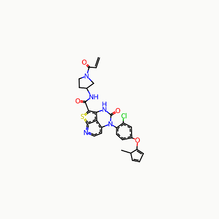 C=CC(=O)N1CCC(NC(=O)c2sc3nccc4c3c2NC(=O)N4c2ccc(OC3=CC=CC3C)cc2Cl)C1